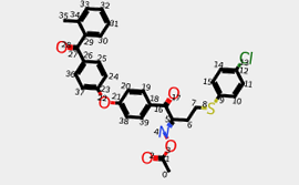 CC(=O)O/N=C(\CCSc1ccc(Cl)cc1)C(=O)c1ccc(Oc2ccc(C(=O)c3ccccc3C)cc2)cc1